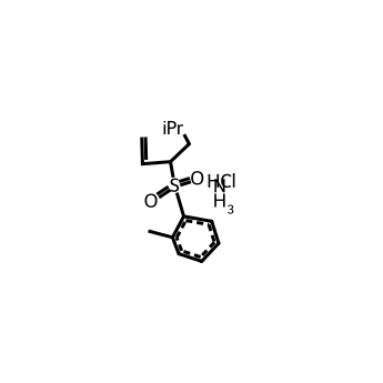 C=CC(CC(C)C)S(=O)(=O)c1ccccc1C.Cl.N